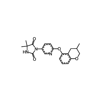 CC1COc2cccc(Oc3ccc(N4C(=O)NC(C)(C)C4=O)cn3)c2C1